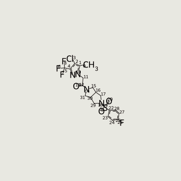 Cc1c(Cl)c(C(F)(F)F)nn1CC(=O)N1CC2CN(S(=O)(=O)c3ccc(F)cc3)CC2C1